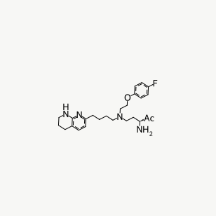 CC(=O)[C@@H](N)CCN(CCCCc1ccc2c(n1)NCCC2)CCOc1ccc(F)cc1